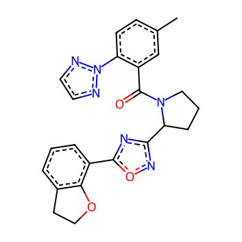 Cc1ccc(-n2nccn2)c(C(=O)N2CCCC2c2noc(-c3cccc4c3OCC4)n2)c1